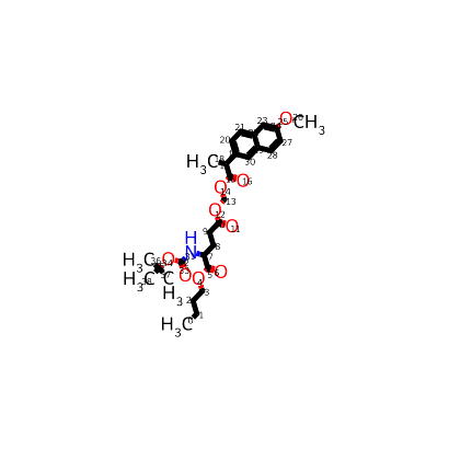 CCCCOC(=O)C(CCC(=O)OCOC(=O)C(C)c1ccc2cc(OC)ccc2c1)NC(=O)OC(C)(C)C